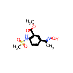 COC(=O)c1cc(C(C)=NO)ccc1NS(C)(=O)=O